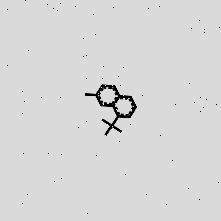 Cc1ccc2cccc(C(C)(C)C)c2c1